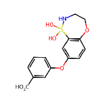 O=C(O)c1cccc(Oc2ccc3c(c2)S(O)(O)NCCO3)c1